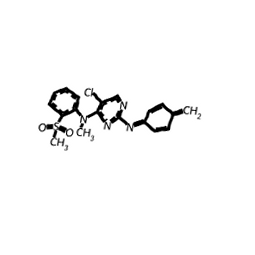 C=C1C=CC(=Nc2ncc(Cl)c(N(C)c3ccccc3S(C)(=O)=O)n2)C=C1